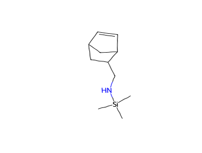 C[Si](C)(C)NCC1CC2C=CC1C2